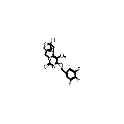 COc1c(OCc2cc(F)c(F)c(F)c2)nc(=O)n2c1N1C[C@@H]3C[C@]1(CO3)C2